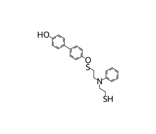 Oc1ccc(-c2ccc(OSCCN(CCS)c3ccccc3)cc2)cc1